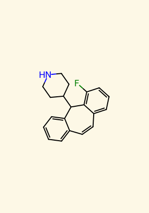 Fc1cccc2c1C(C1CCNCC1)c1ccccc1C=C2